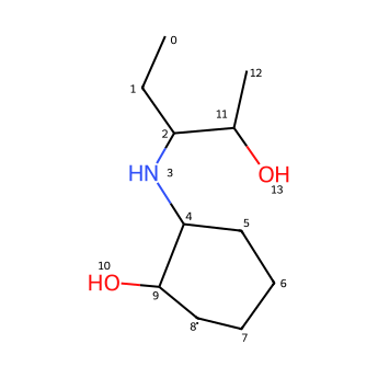 CCC(NC1CCC[CH]C1O)C(C)O